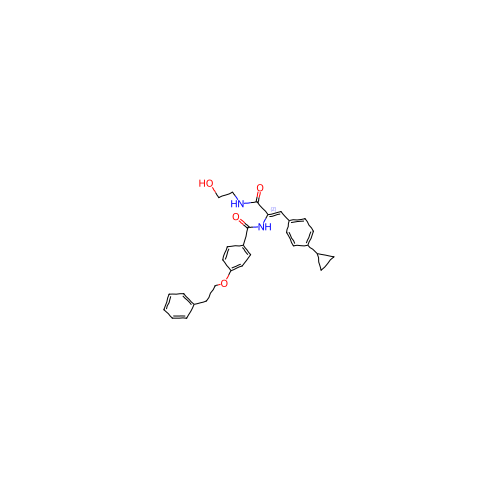 O=C(NCCO)/C(=C/c1ccc(C2CC2)cc1)NC(=O)c1ccc(OCCc2ccccc2)cc1